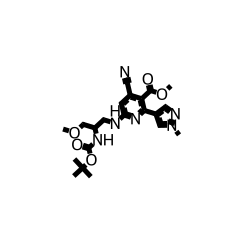 COCC(CNc1cc(C#N)c(C(=O)OC)c(-c2cnn(C)c2)n1)NC(=O)OC(C)(C)C